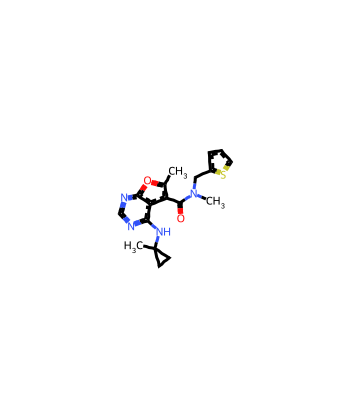 Cc1oc2ncnc(NC3(C)CC3)c2c1C(=O)N(C)Cc1cccs1